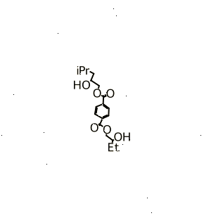 CCC(O)COC(=O)c1ccc(C(=O)OCC(O)CC(C)C)cc1